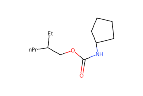 CCCC(CC)COC(=O)NC1CCCC1